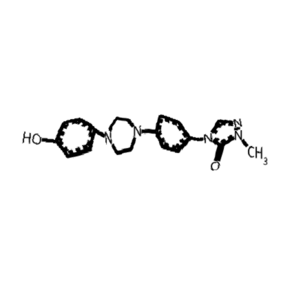 Cn1ncn(-c2ccc(N3CCN(c4ccc(O)cc4)CC3)cc2)c1=O